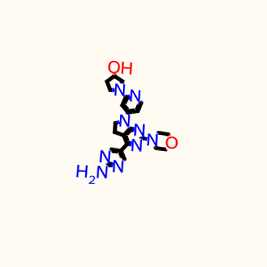 Nc1ncc(-c2nc(N3CCOCC3)nc3c2CCN3c2ccnc(N3CCC(O)C3)c2)cn1